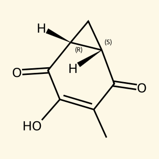 CC1=C(O)C(=O)[C@@H]2C[C@@H]2C1=O